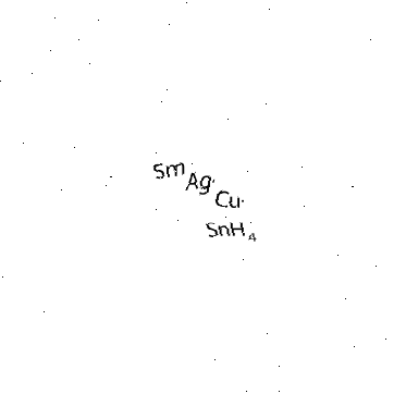 [Ag].[Cu].[Sm].[SnH4]